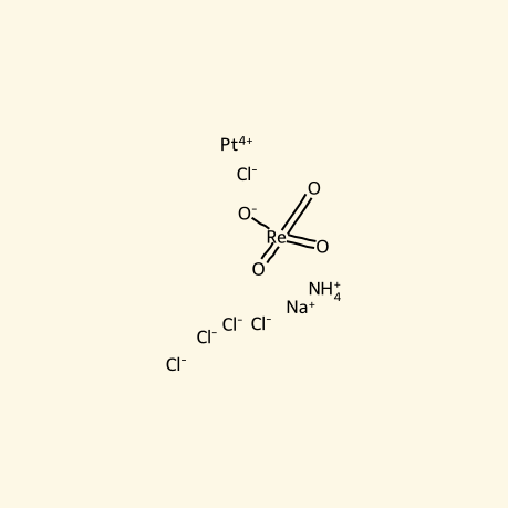 [Cl-].[Cl-].[Cl-].[Cl-].[Cl-].[NH4+].[Na+].[O]=[Re](=[O])(=[O])[O-].[Pt+4]